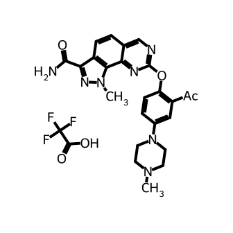 CC(=O)c1cc(N2CCN(C)CC2)ccc1Oc1ncc2ccc3c(C(N)=O)nn(C)c3c2n1.O=C(O)C(F)(F)F